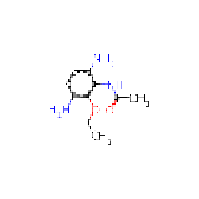 CCOc1c(N)ccc(N)c1NC(C)=O